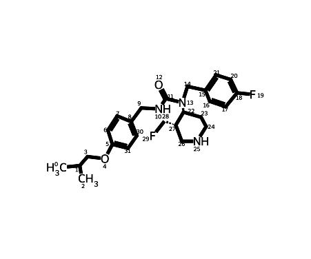 CC(C)COc1ccc(CNC(=O)N(Cc2ccc(F)cc2)[C@@H]2CCNC[C@@H]2CF)cc1